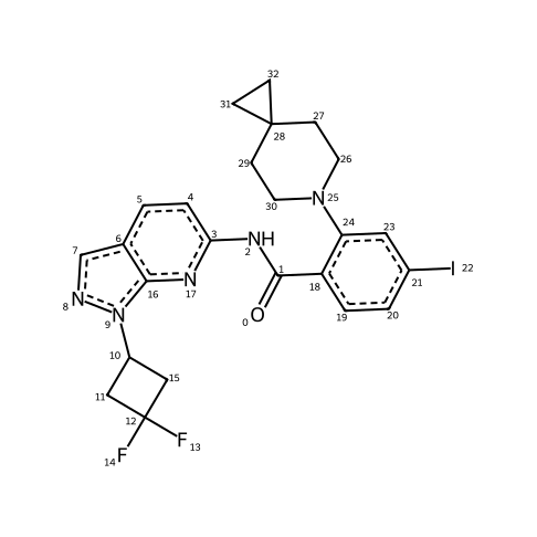 O=C(Nc1ccc2cnn(C3CC(F)(F)C3)c2n1)c1ccc(I)cc1N1CCC2(CC1)CC2